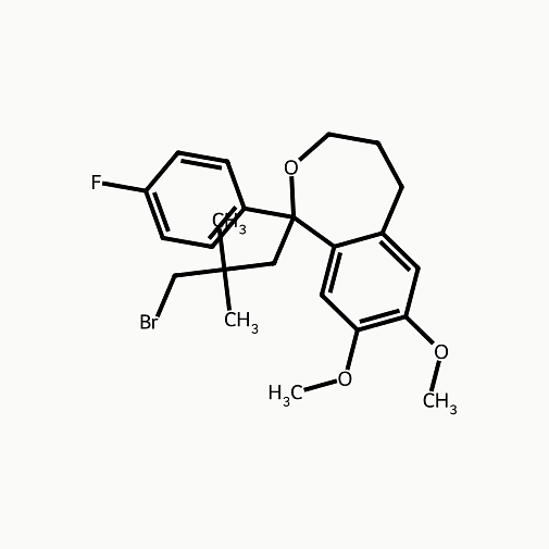 COc1cc2c(cc1OC)C(CC(C)(C)CBr)(c1ccc(F)cc1)OCCC2